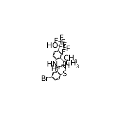 CC1(C)c2cc(C(O)(C(F)(F)F)C(F)(F)F)ccc2N[C@H]2c3cc(Br)ccc3SC[C@H]21